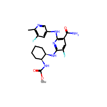 Cc1ncc(Nc2nc(N[C@@H]3CCCC[C@@H]3NC(=O)OC(C)(C)C)c(F)cc2C(N)=O)cc1F